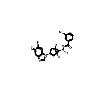 CC[C@@H](NC(=O)c1cccc(C#N)c1)[C@H]1[C@@H]2C[C@@H](n3cnc4cc(F)c(F)cc43)C[C@@H]21